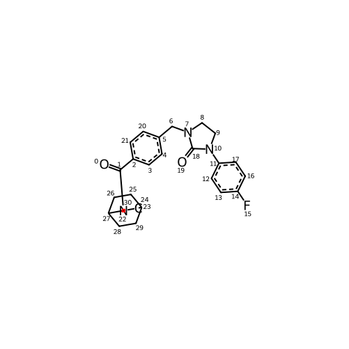 O=C(c1ccc(CN2CCN(c3ccc(F)cc3)C2=O)cc1)N1CC2CCC(CC2)C1